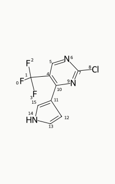 FC(F)(F)c1cnc(Cl)nc1-c1cc[nH]c1